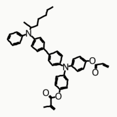 C=CC(=O)Oc1ccc(N(c2ccc(OC(=O)C(=C)C)cc2)c2ccc(-c3ccc(N(c4ccccc4)C(C)CCCCC)cc3)cc2)cc1